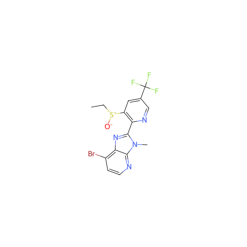 CC[S+]([O-])c1cc(C(F)(F)F)cnc1-c1nc2c(Br)ccnc2n1C